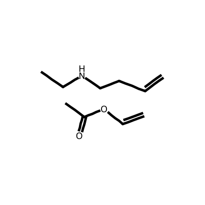 C=CCCNCC.C=COC(C)=O